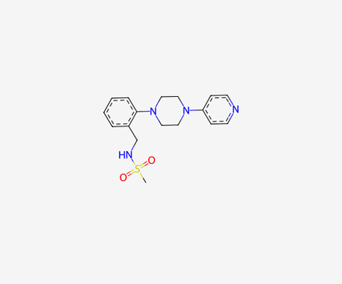 CS(=O)(=O)NCc1ccccc1N1CCN(c2ccncc2)CC1